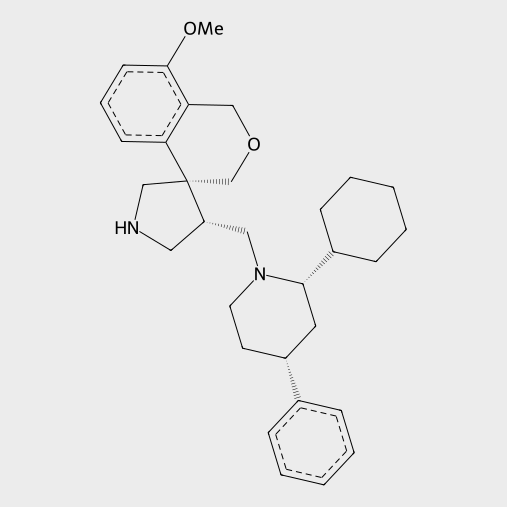 COc1cccc2c1COC[C@]21CNC[C@H]1CN1CC[C@@H](c2ccccc2)C[C@H]1C1CCCCC1